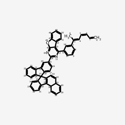 C=C/C=C\C=C(/C)c1cccc(-c2nc(-c3ccc4c(c3)-c3ccccc3C43C4=C(c5ccccc53)C3C=CC=CC3C=C4)nc3oc4ccccc4c23)c1